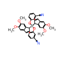 COc1cc2c(cc1OC)[CH]([Zr]([O]c1cccc(C#N)c1)([O]c1cccc(C#N)c1)[CH]1C=Cc3cc(OC)c(OC)cc31)C=C2